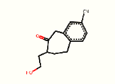 N#Cc1ccc2c(c1)CC(=O)C(CCO)CC2